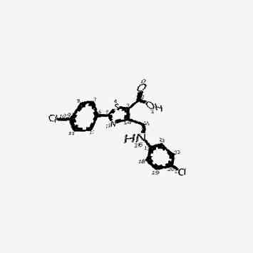 O=C(O)c1sc(-c2ccc(Cl)cc2)nc1CNc1ccc(Cl)cc1